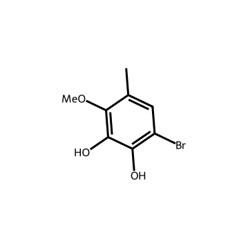 COc1c(C)cc(Br)c(O)c1O